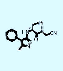 Cc1nsc(N[C@@H](CC(C)C)C(=O)NCC#N)c1-c1ccccc1